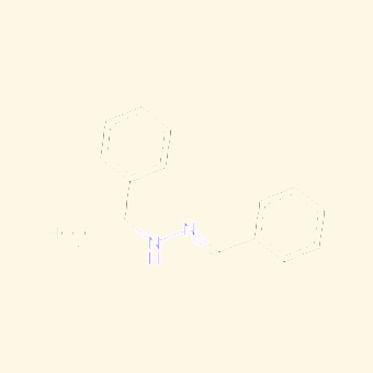 O=C(O)[C@@H](NN=Cc1ccccc1)c1ccccc1